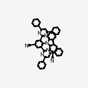 N#Cc1cc(-c2nc(-c3ccccc3)cc(-c3ccccc3)n2)c(-n2c3ccccc3c3ccc(C#N)cc32)c(-c2nc(-c3ccccc3)cc(-c3ccccc3)n2)c1